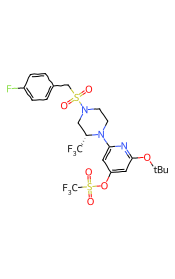 CC(C)(C)Oc1cc(OS(=O)(=O)C(F)(F)F)cc(N2CCN(S(=O)(=O)Cc3ccc(F)cc3)C[C@H]2C(F)(F)F)n1